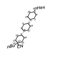 CCCCCC[C@H]1CC[C@H](C2CCC([C@H]3CC[C@@](C#N)(CCCC)CC3)CC2)CC1